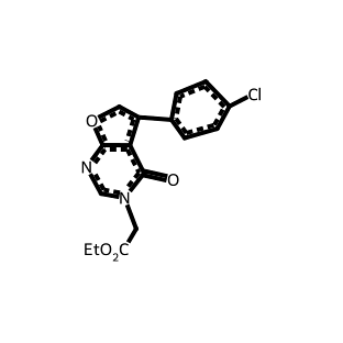 CCOC(=O)Cn1cnc2occ(-c3ccc(Cl)cc3)c2c1=O